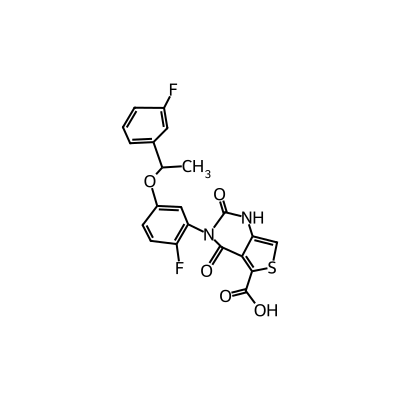 CC(Oc1ccc(F)c(-n2c(=O)[nH]c3csc(C(=O)O)c3c2=O)c1)c1cccc(F)c1